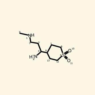 CNCCC(N)C1CCS(=O)(=O)CC1